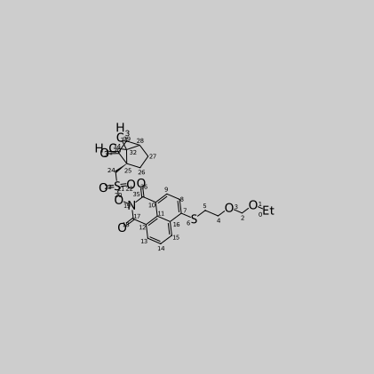 CCOCOCCSc1ccc2c3c(cccc13)C(=O)N(OS(=O)(=O)C[C@@]13CCC(CC1=O)C3(C)C)C2=O